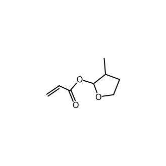 C=CC(=O)OC1OCCC1C